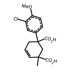 COc1ccc(C2(C(=O)O)CC=CC(C)(C(=O)O)C2)cc1Cl